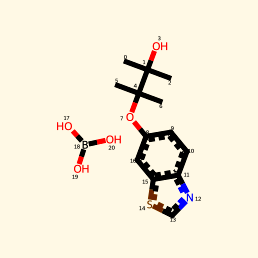 CC(C)(O)C(C)(C)Oc1ccc2ncsc2c1.OB(O)O